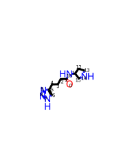 O=C(CCCc1c[nH]nn1)NC1CCNC1